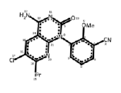 COc1c(C#N)cccc1-n1c(=O)nc(N)c2cc(Cl)c(C(C)C)nc21